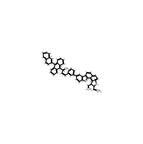 C=CC1Sc2ccc3ccc4c5cc(-c6cccc(/C=C\C(=C)c7c8ccccc8c(-c8ccc9ccccc9c8)c8ccccc78)c6)ccc5sc4c3c2C1C=C